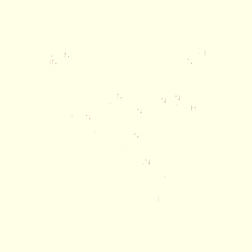 C=CC(=O)N1CCN(c2nc(Oc3nn(C)c4c3CCN(C)C4)nc3c(Oc4c(Cl)c(F)cc5[nH]ncc45)nccc23)CC1